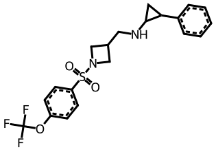 O=S(=O)(c1ccc(OC(F)(F)F)cc1)N1CC(CNC2CC2c2ccccc2)C1